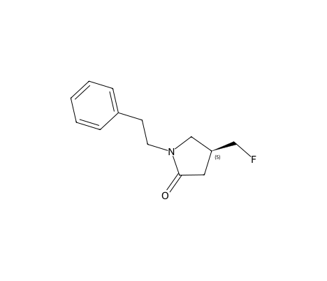 O=C1C[C@H](CF)CN1CCc1ccccc1